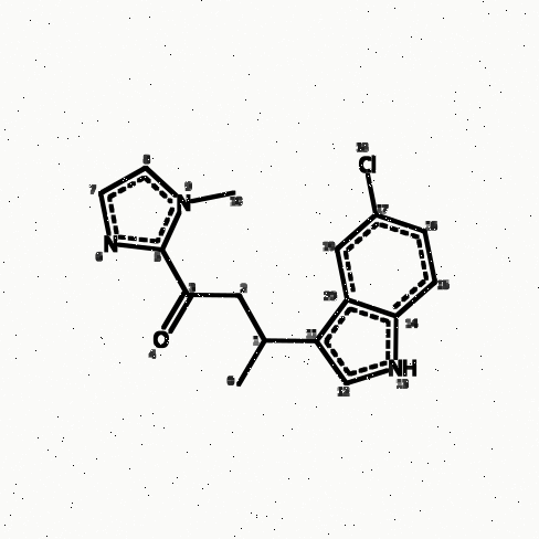 CC(CC(=O)c1nccn1C)c1c[nH]c2ccc(Cl)cc12